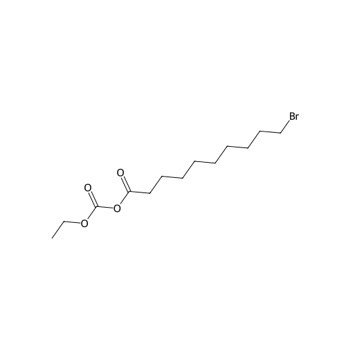 CCOC(=O)OC(=O)CCCCCCCCCBr